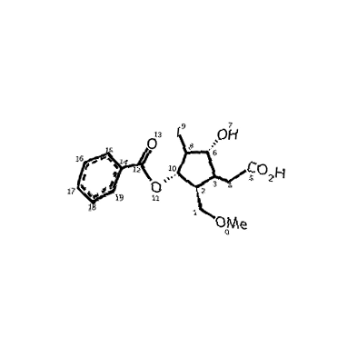 COC[C@@H]1C(CC(=O)O)[C@@H](O)C(I)[C@H]1OC(=O)c1ccccc1